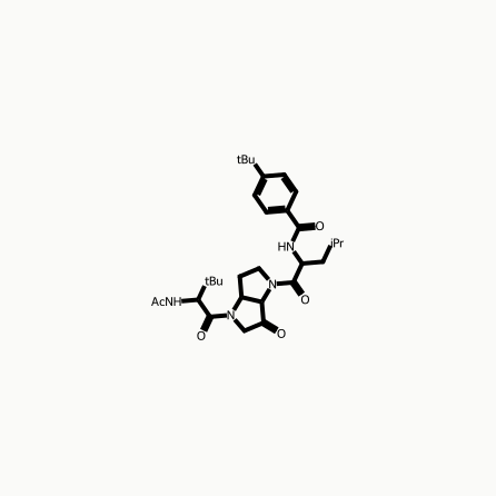 CC(=O)NC(C(=O)N1CC(=O)C2C1CCN2C(=O)C(CC(C)C)NC(=O)c1ccc(C(C)(C)C)cc1)C(C)(C)C